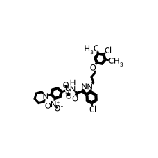 Cc1cc(OCCCn2nc(C(=O)NS(=O)(=O)c3ccc(N4CCCCC4)c([N+](=O)[O-])c3)c3cc(Cl)ccc32)cc(C)c1Cl